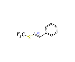 FC(F)(F)S/[C]=C/c1ccccc1